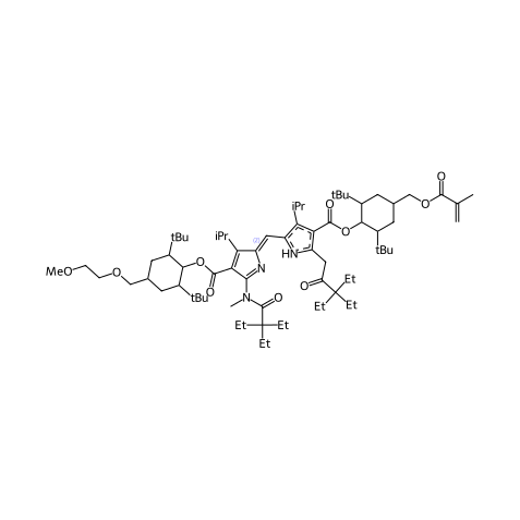 C=C(C)C(=O)OCC1CC(C(C)(C)C)C(OC(=O)c2c(CC(=O)C(CC)(CC)CC)[nH]c(/C=C3\N=C(N(C)C(=O)C(CC)(CC)CC)C(C(=O)OC4C(C(C)(C)C)CC(COCCOC)CC4C(C)(C)C)=C3C(C)C)c2C(C)C)C(C(C)(C)C)C1